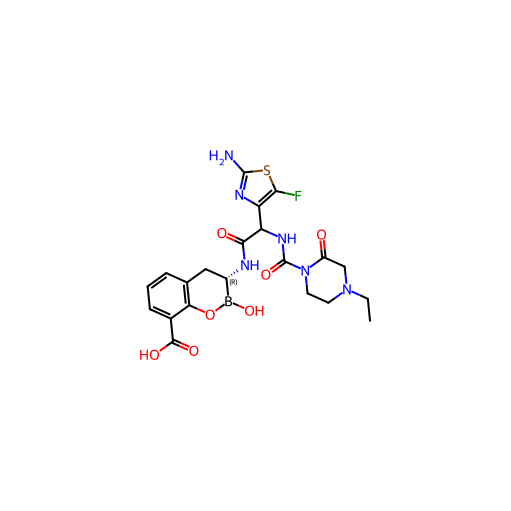 CCN1CCN(C(=O)NC(C(=O)N[C@H]2Cc3cccc(C(=O)O)c3OB2O)c2nc(N)sc2F)C(=O)C1